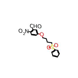 O=Cc1cc(OCCCCS(=O)(=O)c2ccccc2)ccc1[N+](=O)[O-]